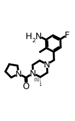 Cc1c(N)cc(F)cc1CN1CCN(C(=O)N2CCCC2)[C@@H](C)C1